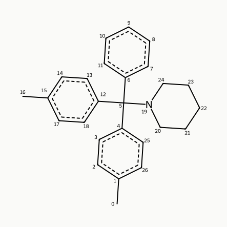 Cc1ccc(C(c2ccccc2)(c2ccc(C)cc2)N2CCCCC2)cc1